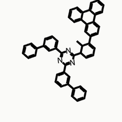 CC1C(c2ccc3c4ccccc4c4ccccc4c3c2)=CC=CC1c1nc(-c2cccc(-c3ccccc3)c2)nc(-c2cccc(-c3ccccc3)c2)n1